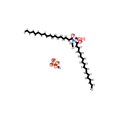 CCCCCCCCCCCCCCCCCC(=O)[N+](CC)(CO)C(=O)CCCCCCCCCCCCCCCCC.COS(=O)(=O)[O-]